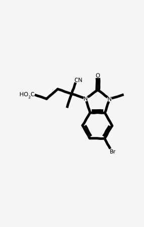 Cn1c(=O)n(C(C)(C#N)CCC(=O)O)c2ccc(Br)cc21